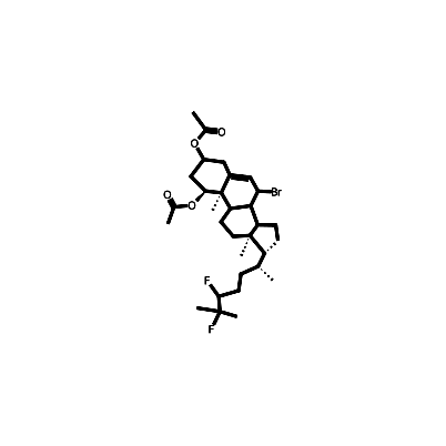 CC(=O)OC1CC2=CC(Br)C3C4CC[C@H]([C@H](C)CCC(F)C(C)(C)F)[C@@]4(C)CCC3[C@@]2(C)[C@@H](OC(C)=O)C1